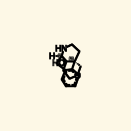 OC12CCOC[C@@]13CCN[C@@H]2Cc1ccccc13